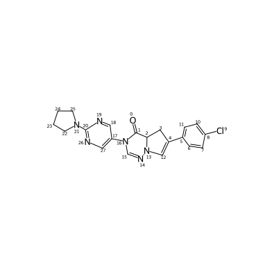 O=C1C2CC(c3ccc(Cl)cc3)=CN2N=CN1c1cnc(N2CCCC2)nc1